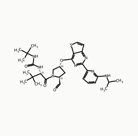 CC(C)Nc1cccc(-c2nc(O[C@@H]3C[C@@H](C=O)N(C(=O)[C@@H](NC(=O)NC(C)(C)C)C(C)(C)C)C3)c3sccc3n2)n1